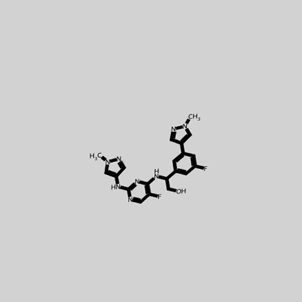 Cn1cc(Nc2ncc(F)c(NC(CO)c3cc(F)cc(-c4cnn(C)c4)c3)n2)cn1